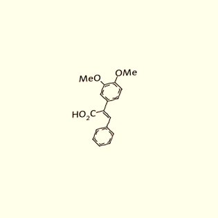 COc1ccc(C(=Cc2ccccc2)C(=O)O)cc1OC